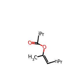 CCCC=C(C)OC(=O)C(C)C